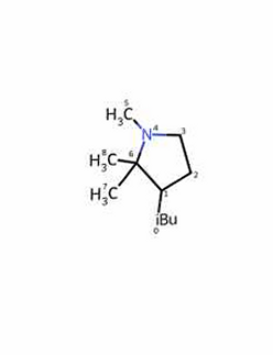 CCC(C)C1CCN(C)C1(C)C